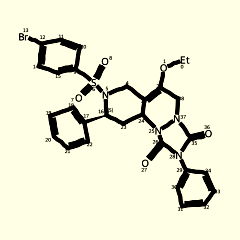 CCOC1=C2CN(S(=O)(=O)c3ccc(Br)cc3)[C@H](c3ccccc3)CC2n2c(=O)n(-c3ccccc3)c(=O)n2C1